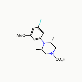 COc1cc(F)cc(N2[C@H](C)CN(C(=O)O)C[C@H]2C)c1